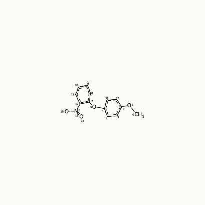 COc1ccc(Oc2ccccc2[N+](=O)[O-])cc1